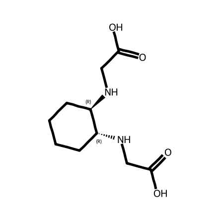 O=C(O)CN[C@@H]1CCCC[C@H]1NCC(=O)O